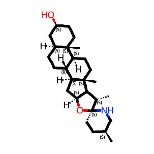 C[C@H]1CC[C@]2(NC1)O[C@H]1C[C@H]3[C@@H]4CC[C@H]5C[C@@H](O)CC[C@]5(C)[C@H]4CC[C@]3(C)C1[C@@H]2C